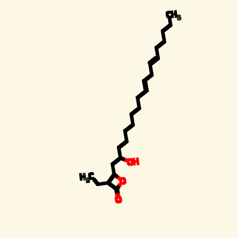 CCCCCC=CCC=CCCCCCCCC(O)CC1OC(=O)C1CC